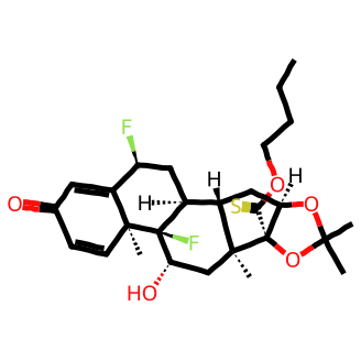 CCCCOC(=S)[C@@]12OC(C)(C)O[C@@H]1C[C@H]1[C@@H]3C[C@H](F)C4=CC(=O)C=C[C@]4(C)[C@@]3(F)[C@@H](O)C[C@@]12C